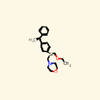 C=C(c1ccccc1)c1ccc([SiH](COCC)CN2CCOCC2)cc1